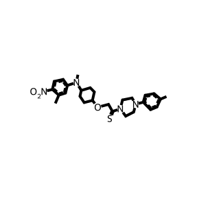 Cc1ccc(N2CCN(C(=S)COC3CCC(N(C)c4ccc([N+](=O)[O-])c(C)c4)CC3)CC2)cc1